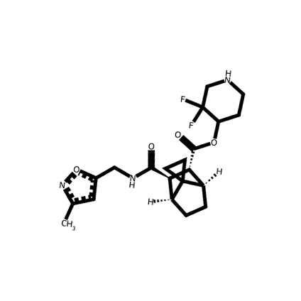 Cc1cc(CNC(=O)[C@H]2[C@H](C(=O)OC3CCNCC3(F)F)[C@H]3CC[C@@H]2C32CC2)on1